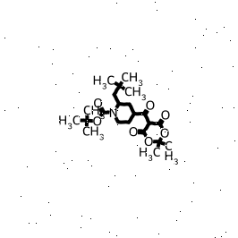 CC(C)(C)CC1CC(C(=O)C2C(=O)OC(C)(C)OC2=O)CCN1C(=O)OC(C)(C)C